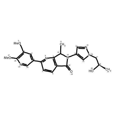 COc1cc(-c2ccc3c(n2)C(C)N(c2cnn(C[C@@H](C)O)c2)C3=O)cnc1OC